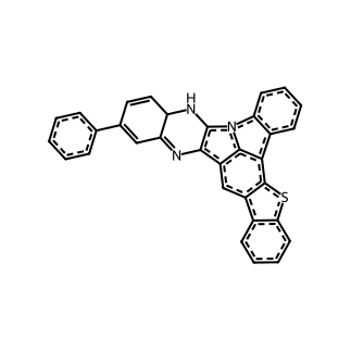 C1=CC2Nc3c(c4cc5c6ccccc6sc5c5c6ccccc6n3c45)N=C2C=C1c1ccccc1